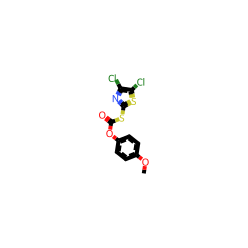 COc1ccc(OC(=O)Sc2nc(Cl)c(Cl)s2)cc1